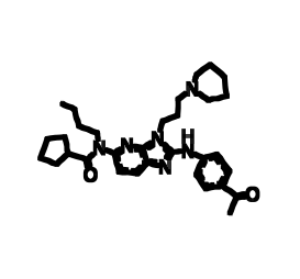 CCCCN(C(=O)C1CCCC1)c1ccc2nc(Nc3ccc(C(C)=O)cc3)n(CCCN3CCCCC3)c2n1